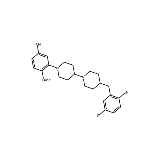 COc1ccc(C#N)cc1N1CCC(N2CCC(Cc3cc(F)ccc3Br)CC2)CC1